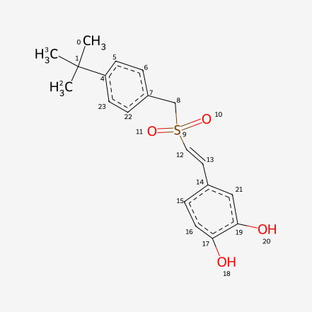 CC(C)(C)c1ccc(CS(=O)(=O)/C=C/c2ccc(O)c(O)c2)cc1